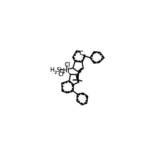 C[SiH2][Hf]([Cl])([Cl])([CH]1C(C)=Cc2c(-c3ccccc3)cccc21)[CH]1C(C(C)C)=Cc2c(-c3ccccc3)cccc21